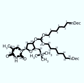 CCCCCCCCCCCCCCCCOC(OCCCCCCCCCCCCCCCC)OC1C[C@H](n2cc(C)c(=O)[nH]c2=O)O[C@@H]1C[N+](C)(C)C